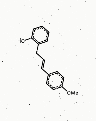 COc1ccc(/C=C/Cc2ccccc2O)cc1